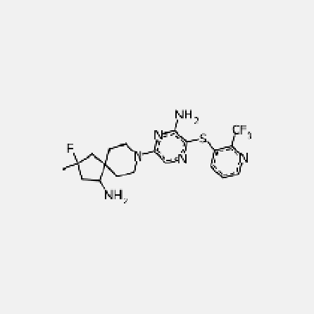 CC1(F)CC(N)C2(CCN(c3cnc(Sc4cccnc4C(F)(F)F)c(N)n3)CC2)C1